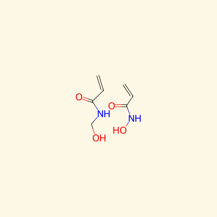 C=CC(=O)NCO.C=CC(=O)NO